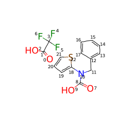 O=C(O)C(F)(F)F.O=C(O)N(Cc1ccccc1)c1cccs1